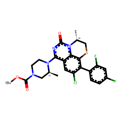 C[C@@H]1CSc2c(-c3ccc(F)cc3F)c(Cl)cc3c(N4CCN(C(=O)OC(C)(C)C)C[C@@H]4C)nc(=O)n1c23